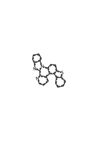 c1ccc2c(c1)nc1c3ncccc3c3c4c(ccc3n21)sc1ccccc14